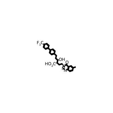 Cc1ccc2nnn(CC[C@H](C(=O)O)[C@H](O)CCc3ccc(-c4ccc(C(F)(F)F)cc4)cc3)c(=O)c2c1